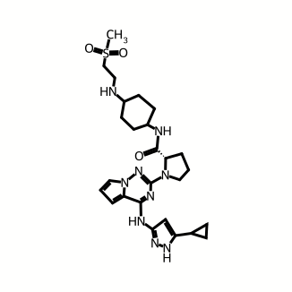 CS(=O)(=O)CCNC1CCC(NC(=O)[C@@H]2CCCN2c2nc(Nc3cc(C4CC4)[nH]n3)c3cccn3n2)CC1